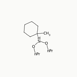 CCCO[SiH](OCCC)C1(C)CCCCC1